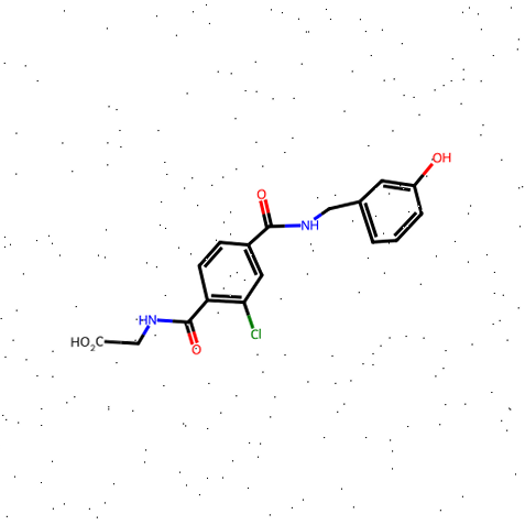 O=C(O)CNC(=O)c1ccc(C(=O)NCc2cccc(O)c2)cc1Cl